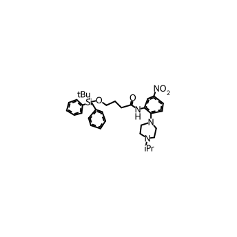 CC(C)N1CCN(c2ccc([N+](=O)[O-])cc2NC(=O)CCCO[Si](c2ccccc2)(c2ccccc2)C(C)(C)C)CC1